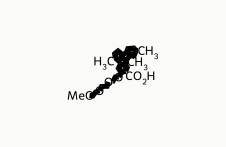 COCCOCCOCCOc1ccc(C2(C)c3cc(C)ccc3-c3ccc(C)cc32)cc1C(=O)O